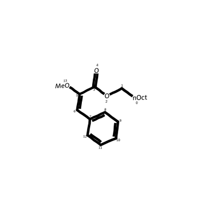 CCCCCCCCCOC(=O)C(=Cc1ccccc1)OC